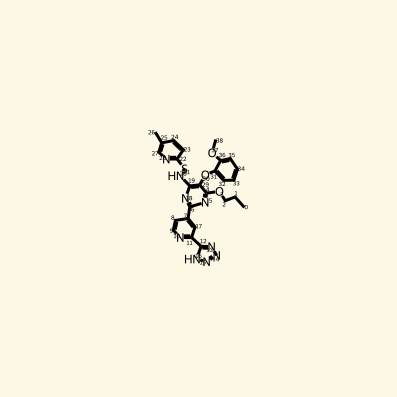 CCCOc1nc(-c2ccnc(-c3nnn[nH]3)c2)nc(NSc2ccc(C)cn2)c1Oc1ccccc1OC